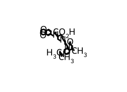 Cc1cc(=O)n(CCN2CCC(N(Cc3ccc4c(c3)OCCO4)C(=O)O)CC2)c2cc(N(C)C)ccc12